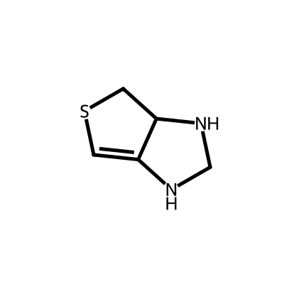 C1=C2NCNC2CS1